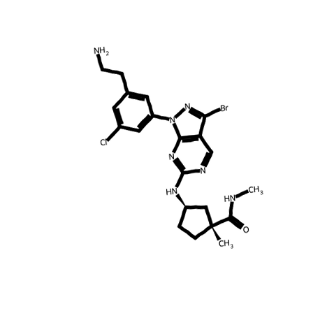 CNC(=O)[C@]1(C)CC[C@@H](Nc2ncc3c(Br)nn(-c4cc(Cl)cc(CCN)c4)c3n2)C1